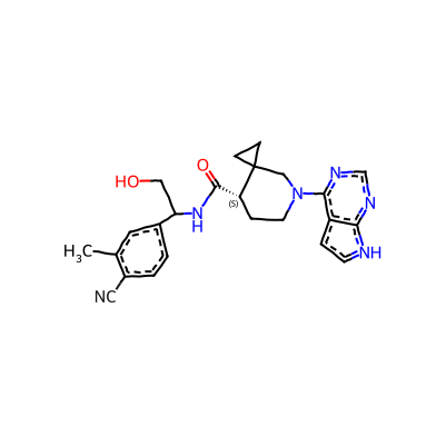 Cc1cc(C(CO)NC(=O)[C@H]2CCN(c3ncnc4[nH]ccc34)CC23CC3)ccc1C#N